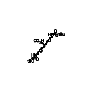 CC(C)(C)OC(=O)NCCOCCN(CCOCCNC(=O)OC(C)(C)C)CC(=O)O